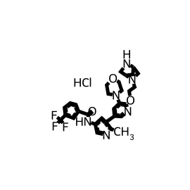 Cc1ncc(NC(=O)c2cccc(C(F)(F)F)c2)cc1-c1cnc(OCCN2CC3CC2CN3)c(N2CCOCC2)c1.Cl